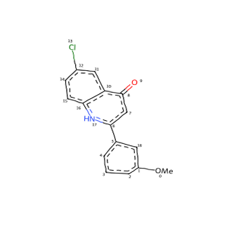 COc1cccc(-c2cc(=O)c3cc(Cl)ccc3[nH]2)c1